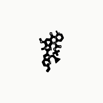 C=Cc1ccc2cc(-c3nc4cc(C(=O)N5C(NC(=O)OC(C)(C)C)CCC[C@@H]5C)cc(OC)c4n3C)n(CC3CC3)c2n1